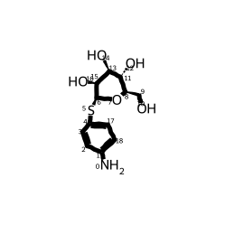 Nc1ccc(S[C@@H]2O[C@H](CO)[C@@H](O)[C@H](O)[C@@H]2O)cc1